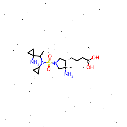 CC(N(C1CC1)S(=O)(=O)N1C[C@H](CCCB(O)O)[C@@](C)(N)C1)C1(N)CC1